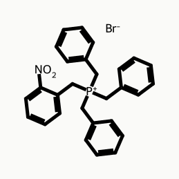 O=[N+]([O-])c1ccccc1C[P+](Cc1ccccc1)(Cc1ccccc1)Cc1ccccc1.[Br-]